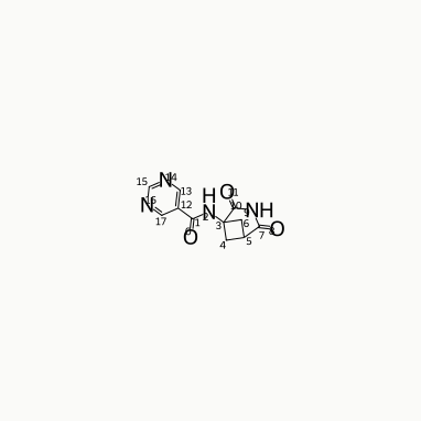 O=C(NC12CC(C1)C(=O)NC2=O)c1cncnc1